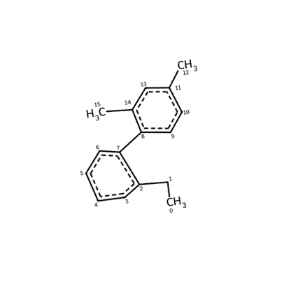 CCc1ccccc1-c1ccc(C)cc1C